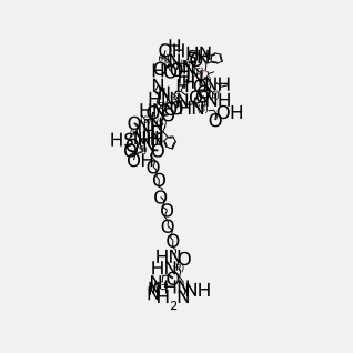 CC(C)C[C@H](NC(=O)[C@H](Cc1c[nH]cn1)NC(=O)[C@H](Cc1c[nH]c2ccccc12)NC(=O)[C@H](C)NC(=O)[C@H](CS)NC(=O)[C@H](CC(=O)O)NC(=O)CCOCCOCCOCCOCCOCCOCCNC(=O)[C@@H](CCCNC(=N)N)NC(=O)CCN=[N+]=[N-])C(=O)NCC(=O)N[C@@H](CCC(=O)O)C(=O)N[C@@H](CC(C)C)C(=O)N[C@H](C(=O)N[C@@H](Cc1c[nH]c2ccccc12)C(=O)N[C@@H](CS)C(=O)N[C@H](C(=O)O)[C@@H](C)O)C(C)C